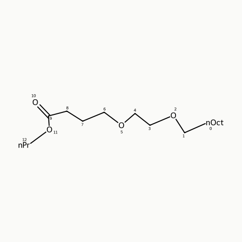 CCCCCCCCCOCCOCCCC(=O)OCCC